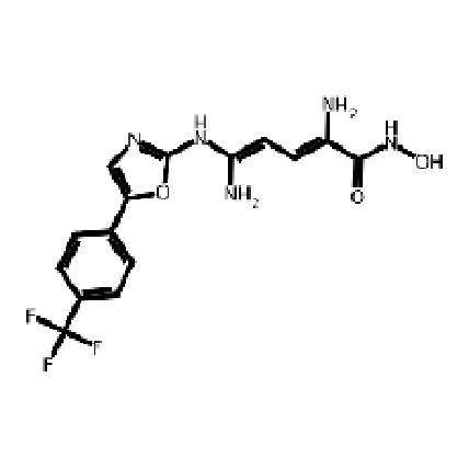 N/C(=C\C=C(/N)Nc1ncc(-c2ccc(C(F)(F)F)cc2)o1)C(=O)NO